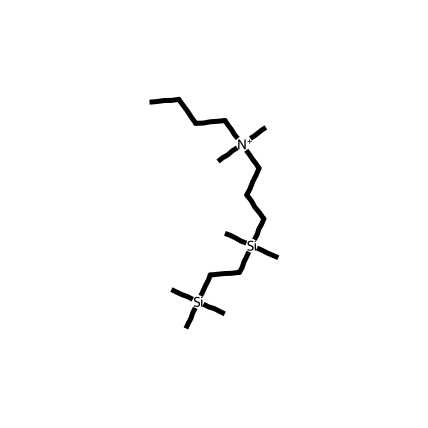 CCCC[N+](C)(C)CCC[Si](C)(C)CC[Si](C)(C)C